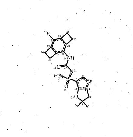 CC1(C)Cn2ncc(S(N)(=O)=NC(=O)Nc3c4c(c(F)c5c3CC5)CC4)c2O1